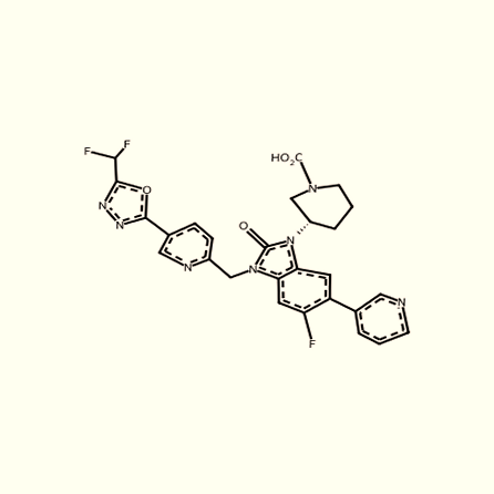 O=C(O)N1CCC[C@H](n2c(=O)n(Cc3ccc(-c4nnc(C(F)F)o4)cn3)c3cc(F)c(-c4cccnc4)cc32)C1